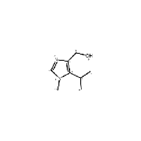 CC(C)c1c(CO)ncn1C